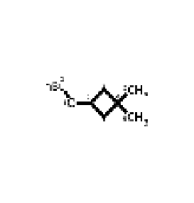 CCCCOC1CC(C)(C)C1